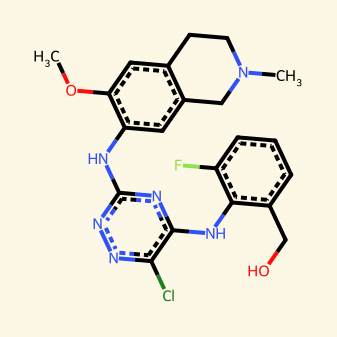 COc1cc2c(cc1Nc1nnc(Cl)c(Nc3c(F)cccc3CO)n1)CN(C)CC2